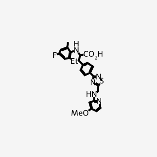 CCc1cc(F)cc(C)c1NC(Cc1ccc(-c2nsc(CNc3cc(OC)ccn3)n2)cc1)C(=O)O